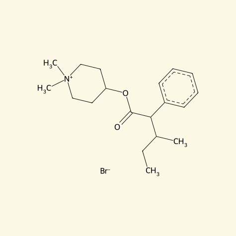 CCC(C)C(C(=O)OC1CC[N+](C)(C)CC1)c1ccccc1.[Br-]